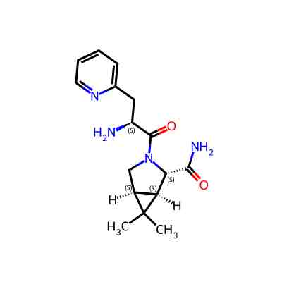 CC1(C)[C@@H]2[C@@H](C(N)=O)N(C(=O)[C@@H](N)Cc3ccccn3)C[C@@H]21